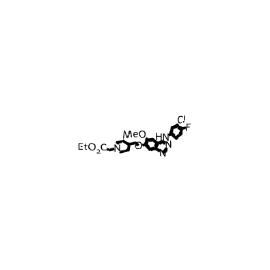 CCOC(=O)CN1CCC(COc2cc3ncnc(Nc4ccc(F)c(Cl)c4)c3cc2OC)CC1